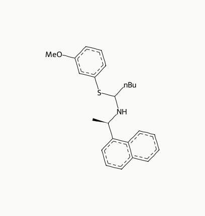 CCCCC(N[C@H](C)c1cccc2ccccc12)Sc1cccc(OC)c1